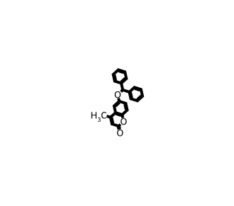 Cc1cc(=O)oc2ccc(OC(c3ccccc3)c3ccccc3)cc12